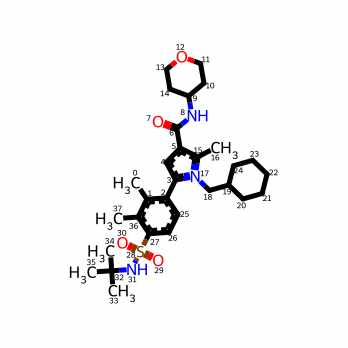 Cc1c(-c2cc(C(=O)NC3CCOCC3)c(C)n2CC2CCCCC2)ccc(S(=O)(=O)NC(C)(C)C)c1C